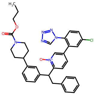 CCCOC(=O)N1CCC(c2cccc(C(Cc3ccccc3)c3ccc(-c4cc(Cl)ccc4-n4cnnn4)c[n+]3[O-])c2)CC1